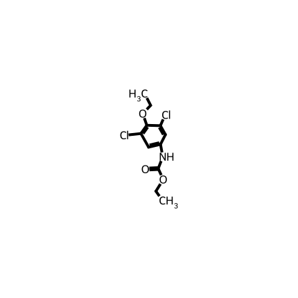 CCOC(=O)Nc1cc(Cl)c(OCC)c(Cl)c1